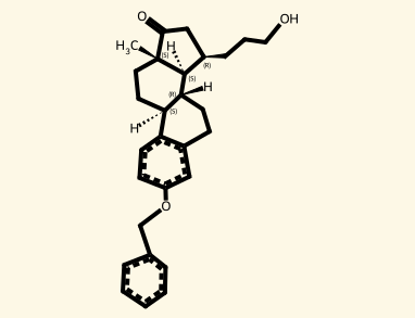 C[C@]12CC[C@@H]3c4ccc(OCc5ccccc5)cc4CC[C@H]3[C@@H]1[C@H](CCCO)CC2=O